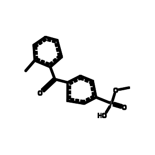 COP(=O)(O)c1ccc(C(=O)c2ccccc2C)cc1